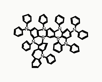 C1=Cc2c(ccc3c2N(c2ccccc2)c2cc(N(c4ccccc4)c4ccccc4)cc4c2B3c2cc3c(cc2N4c2ccccc2)N(c2ccccc2)c2cc(N(c4ccccc4)c4ccccc4)cc4c2B3c2ccccc2N4c2ccccc2)N(c2ccccc2)c2ccccc21